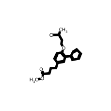 COC(=O)CCCc1ccc(OCCC(C)Cl)c(-c2ccccc2)c1